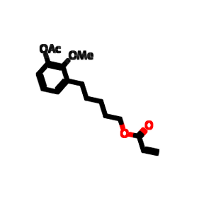 C=CC(=O)OCCCCCc1cccc(OC(C)=O)c1OC